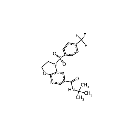 CC(C)(C)NC(=O)c1cnc2c(c1)N(S(=O)(=O)c1ccc(C(F)(F)F)cc1)CCO2